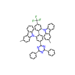 Cc1ccc2c(c1)c1ccccc1n2-c1cc(-c2nc(-c3ccccc3)nc(-c3ccccc3)n2)ccc1-c1ccc(C(F)(F)F)cc1-n1c2ccccc2c2cc(C)ccc21